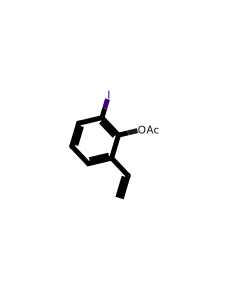 C=Cc1cccc(I)c1OC(C)=O